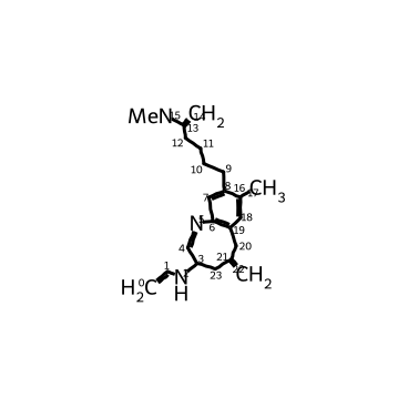 C=CNC1/C=N\c2cc(CCCCC(=C)NC)c(C)cc2CC(=C)C1